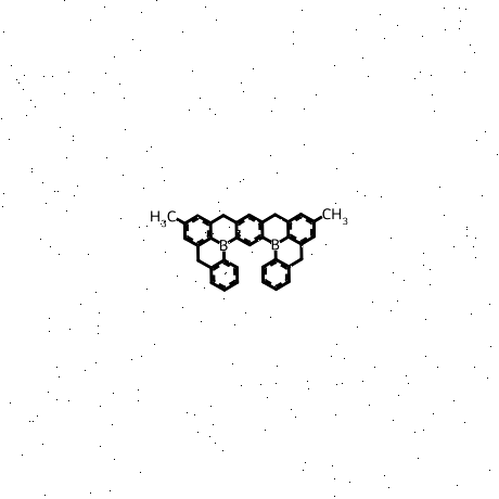 Cc1cc2c3c(c1)Cc1cc4c(cc1B3c1ccccc1C2)B1c2ccccc2Cc2cc(C)cc(c21)C4